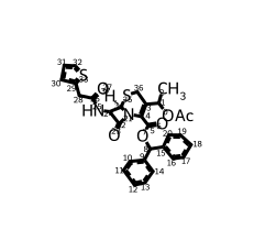 CC(=O)OC(C)C1=C(C(=O)OC(c2ccccc2)c2ccccc2)N2C(=O)C(NC(=O)Cc3cccs3)[C@H]2SC1